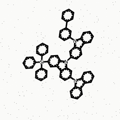 c1ccc(-c2cccc(-n3c4ccccc4c4ccc(-n5c6ccc([Si](c7ccccc7)(c7ccccc7)c7ccccc7)cc6c6ccc(-n7c8ccccc8c8ccccc87)cc65)cc43)c2)cc1